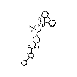 O=C(NC1CCN(CCCCC2(C(=O)NCC(F)(F)F)c3ccccc3-c3ccccc32)CC1)c1ccc(-c2cccs2)s1